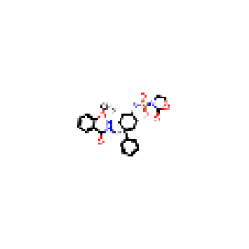 COc1ccccc1C(=O)NC[C@]1(c2ccccc2)CC[C@H](NS(=O)(=O)N2CCOC2=O)CC1